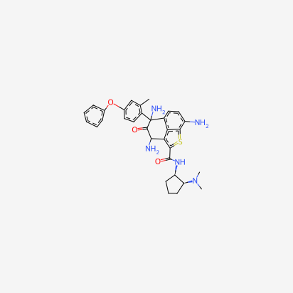 Cc1cc(Oc2ccccc2)ccc1C1(N)C(=O)C(N)c2c(C(=O)N[C@@H]3CCC[C@@H]3N(C)C)sc3c(N)ccc1c23